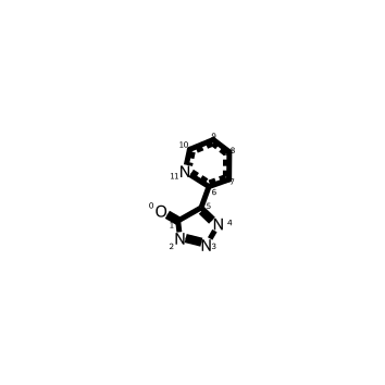 O=C1N=NN=C1c1ccccn1